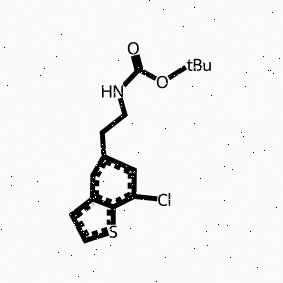 CC(C)(C)OC(=O)NCCc1cc(Cl)c2sccc2c1